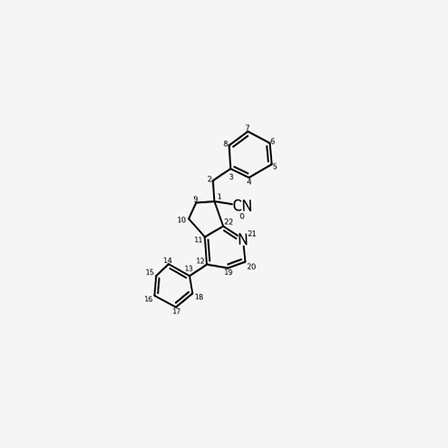 N#CC1(Cc2ccccc2)CCc2c(-c3ccccc3)ccnc21